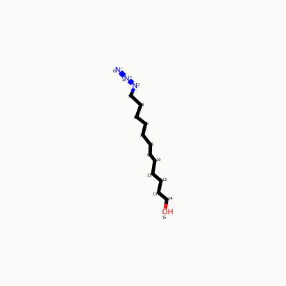 [N-]=[N+]=NCCCCCCCCCCC[CH]O